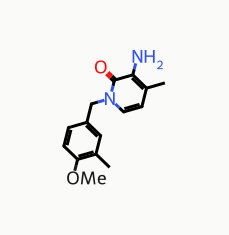 COc1ccc(Cn2ccc(C)c(N)c2=O)cc1C